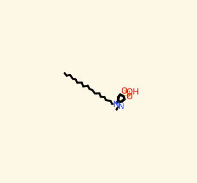 CCCCCCCCCCCCCCCCCCn1c(C)nc2cc(S(=O)(=O)O)ccc21